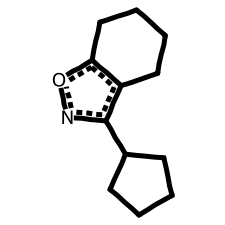 C1CCc2c(C3CCCC3)noc2C1